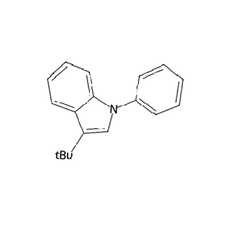 CC(C)(C)c1cn(-c2ccccc2)c2ccccc12